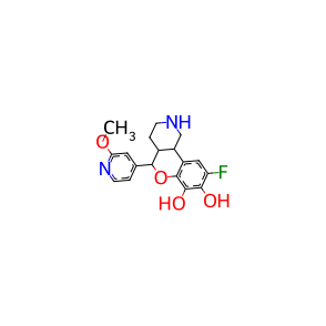 COc1cc(C2Oc3c(cc(F)c(O)c3O)C3CNCCC32)ccn1